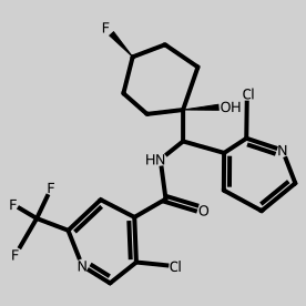 O=C(NC(c1cccnc1Cl)[C@]1(O)CC[C@@H](F)CC1)c1cc(C(F)(F)F)ncc1Cl